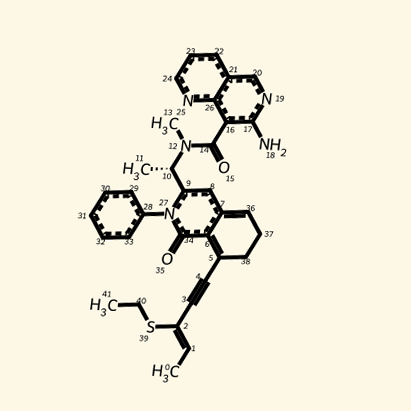 C/C=C(/C#CC1=c2c(cc([C@H](C)N(C)C(=O)c3c(N)ncc4cccnc34)n(-c3ccccc3)c2=O)=CCC1)SCC